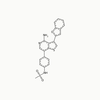 CS(=O)(=O)Nc1ccc(-c2cnc(N)c3c(-c4cc5ccccc5o4)csc23)cc1